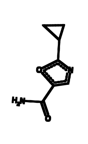 NC(=O)c1cnc(C2CC2)o1